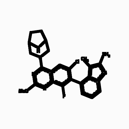 COc1nc(N2CC3CCC(C2)N3)c2cc(Cl)c(-c3cccc4sc(N)c(C)c34)c(F)c2n1